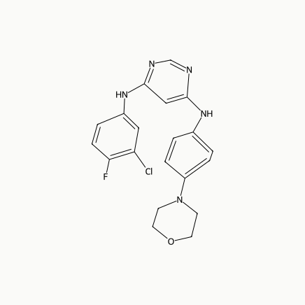 Fc1ccc(Nc2cc(Nc3ccc(N4CCOCC4)cc3)ncn2)cc1Cl